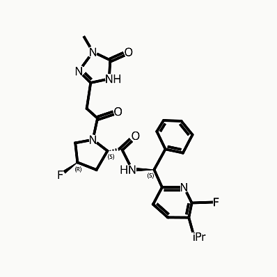 CC(C)c1ccc([C@@H](NC(=O)[C@@H]2C[C@@H](F)CN2C(=O)Cc2nn(C)c(=O)[nH]2)c2ccccc2)nc1F